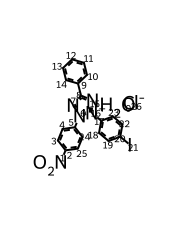 O.O=[N+]([O-])c1ccc(-n2nc(-c3ccccc3)n[n+]2-c2ccc(I)cc2)cc1.[Cl-]